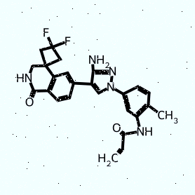 C=CC(=O)Nc1cc(-n2cc(-c3ccc4c(c3)C3(CNC4=O)CC(F)(F)C3)c(N)n2)ccc1C